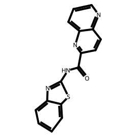 O=C(Nc1nc2ccccc2s1)c1ccc2ncccc2n1